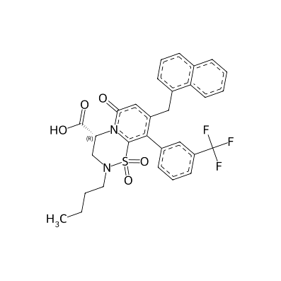 CCCCN1C[C@H](C(=O)O)n2c(c(-c3cccc(C(F)(F)F)c3)c(Cc3cccc4ccccc34)cc2=O)S1(=O)=O